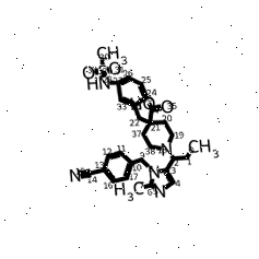 CCC(c1cnc(C)n1Cc1ccc(C#N)cc1)N1CCC(Cc2cccc(NS(C)(=O)=O)c2)(C(=O)O)CC1